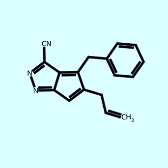 C=CCC1=CC2=NN=C(C#N)C2=C1Cc1ccccc1